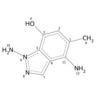 Cc1cc(O)c2c(cnn2N)c1N